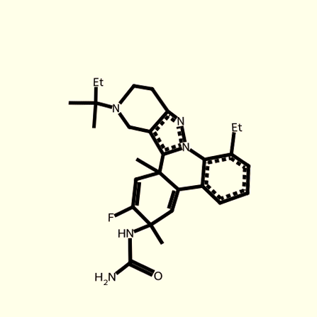 CCc1cccc2c1-n1nc3c(c1C1(C)C=C(F)C(C)(NC(N)=O)C=C21)CN(C(C)(C)CC)CC3